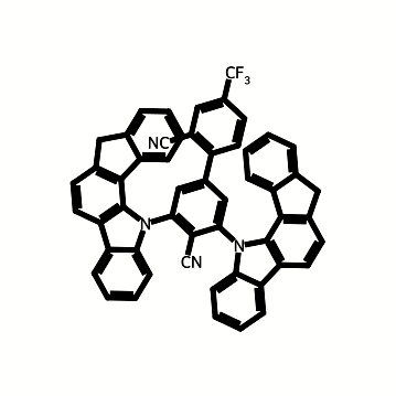 N#Cc1cc(C(F)(F)F)ccc1-c1cc(-n2c3ccccc3c3ccc4c(c32)-c2ccccc2C4)c(C#N)c(-n2c3ccccc3c3ccc4c(c32)-c2ccccc2C4)c1